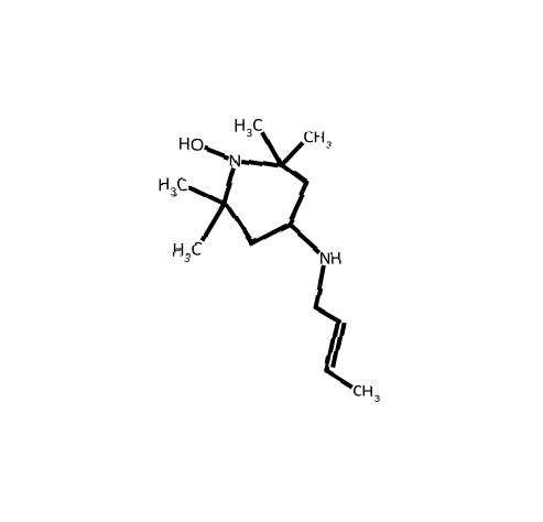 C/C=C/CNC1CC(C)(C)N(O)C(C)(C)C1